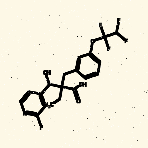 CCC(Cc1cccc(OC(F)(F)C(F)F)c1)(C(=O)O)C(O)c1ccnc(F)c1